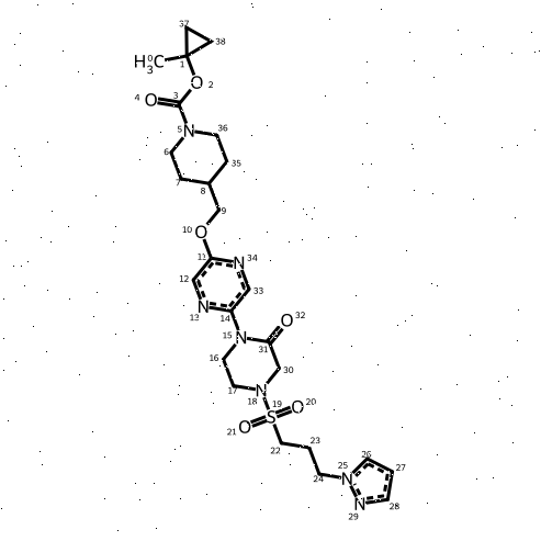 CC1(OC(=O)N2CCC(COc3cnc(N4CCN(S(=O)(=O)CCCn5cccn5)CC4=O)cn3)CC2)CC1